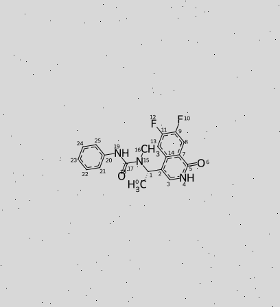 C[C@@H](c1c[nH]c(=O)c2cc(F)c(F)cc12)N(C)C(=O)Nc1ccccc1